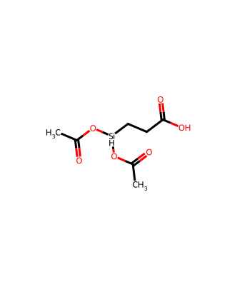 CC(=O)O[SiH](CCC(=O)O)OC(C)=O